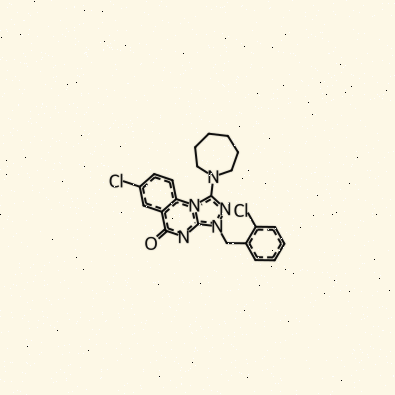 O=c1nc2n(Cc3ccccc3Cl)nc(N3CCCCCC3)n2c2ccc(Cl)cc12